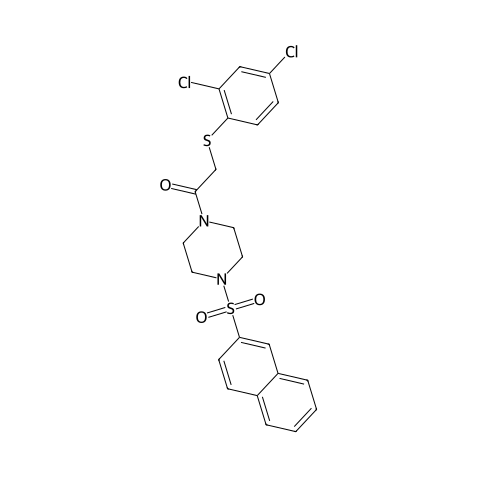 O=C(CSc1ccc(Cl)cc1Cl)N1CCN(S(=O)(=O)c2ccc3ccccc3c2)CC1